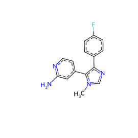 Cn1cnc(-c2ccc(F)cc2)c1-c1ccnc(N)c1